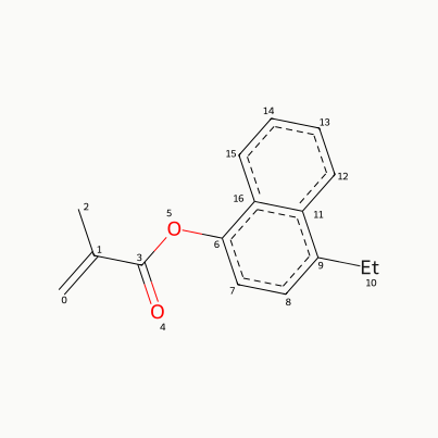 C=C(C)C(=O)Oc1ccc(CC)c2ccccc12